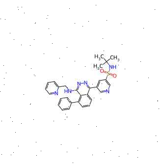 CC(C)(C)NS(=O)(=O)c1cncc(-c2nnc(NCc3ccccn3)c3c(-c4ccccc4)cccc23)c1